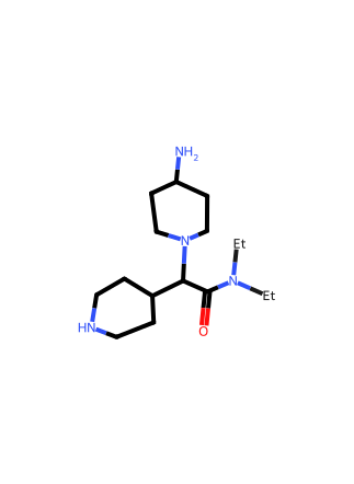 CCN(CC)C(=O)C(C1CCNCC1)N1CCC(N)CC1